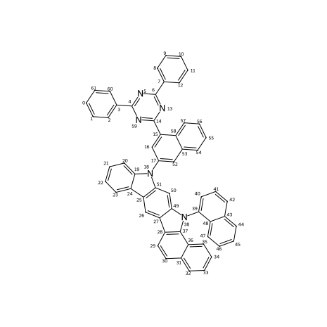 c1ccc(-c2nc(-c3ccccc3)nc(-c3cc(-n4c5ccccc5c5cc6c7ccc8ccccc8c7n(-c7cccc8ccccc78)c6cc54)cc4ccccc34)n2)cc1